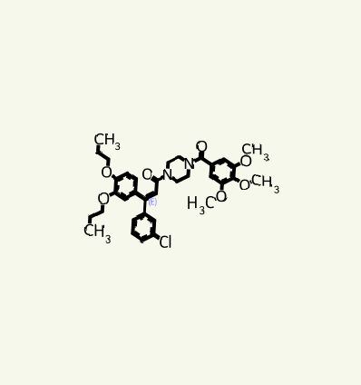 CCCOc1ccc(/C(=C\C(=O)N2CCN(C(=O)c3cc(OC)c(OC)c(OC)c3)CC2)c2cccc(Cl)c2)cc1OCCC